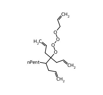 C=CCOOOOC(CC=C)(CC=C)C(CC=C)CCCCC